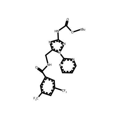 CC(C)(C)OC(=O)Nc1nc(CNC(=O)c2cc(C(F)(F)F)cc(C(F)(F)F)c2)n(-c2ncccn2)n1